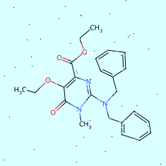 CCOC(=O)c1nc(N(Cc2ccccc2)Cc2ccccc2)n(C)c(=O)c1OCC